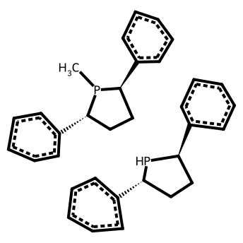 CP1[C@@H](c2ccccc2)CC[C@@H]1c1ccccc1.c1ccc([C@H]2CC[C@H](c3ccccc3)P2)cc1